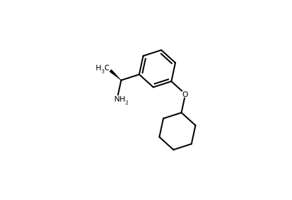 C[C@H](N)c1cccc(OC2CCCCC2)c1